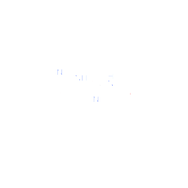 O=C(Nc1ccccn1)C(CC1CCCC1)n1ccc(=O)[nH]c1=O